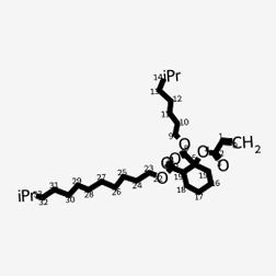 C=CC(=O)OC1(C(=O)OCCCCCC(C)C)CCCCC1C(=O)OCCCCCCCCCCC(C)C